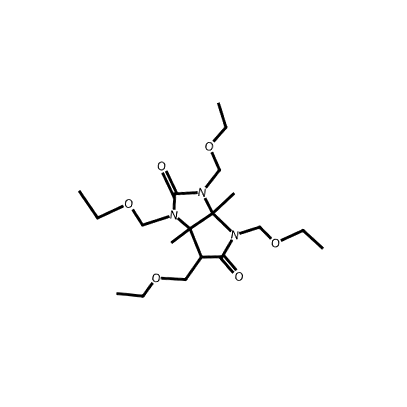 CCOCC1C(=O)N(COCC)C2(C)N(COCC)C(=O)N(COCC)C12C